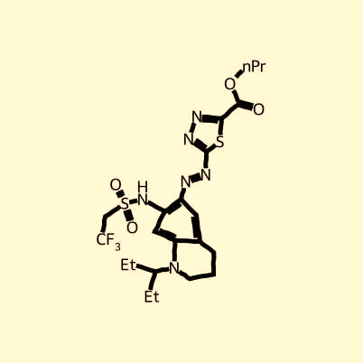 CCCOC(=O)c1nnc(N=Nc2cc3c(cc2NS(=O)(=O)CC(F)(F)F)N(C(CC)CC)CCC3)s1